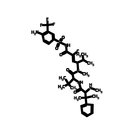 CNC(C(=O)NC(C(=O)N(C)C(/C=C(\C)C(=O)NS(=O)(=O)c1ccc(N)c(C(F)(F)F)c1)C(C)C)C(C)(C)C)C(C)(C)c1ccccc1